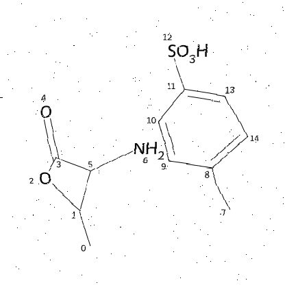 CC1OC(=O)C1N.Cc1ccc(S(=O)(=O)O)cc1